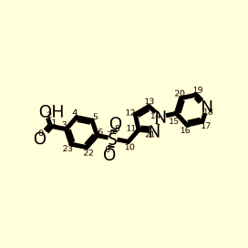 O=C(O)c1ccc(S(=O)(=O)Cc2ccn(-c3ccncc3)n2)cc1